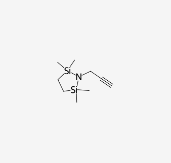 C#CCN1[Si](C)(C)CC[Si]1(C)C